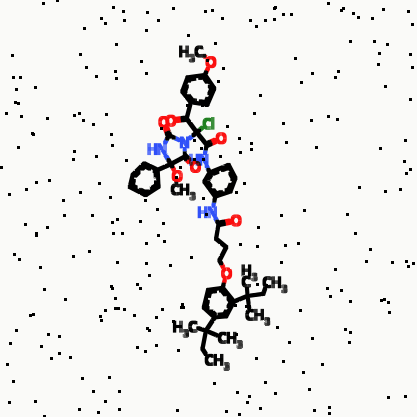 CCC(C)(C)c1ccc(OCCCC(=O)Nc2cccc(NC(=O)C(Cl)(C(=O)c3ccc(OC)cc3)N3C(=O)NC(OC)(c4ccccc4)C3=O)c2)c(C(C)(C)CC)c1